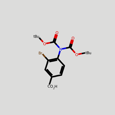 CC(C)(C)OC(=O)N(C(=O)OC(C)(C)C)c1ccc(C(=O)O)cc1Br